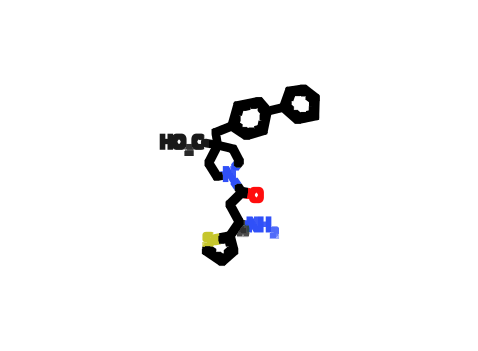 N[C@@H](CC(=O)N1CCC(Cc2ccc(-c3ccccc3)cc2)(C(=O)O)CC1)c1cccs1